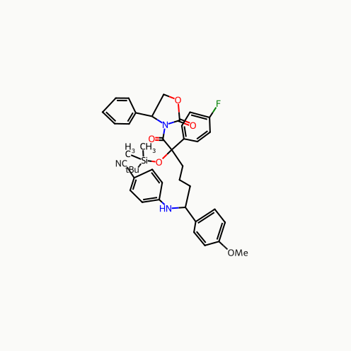 COc1ccc(C(CCCC(O[Si](C)(C)C(C)(C)C)(C(=O)N2C(=O)OCC2c2ccccc2)c2ccc(F)cc2)Nc2ccc(C#N)cc2)cc1